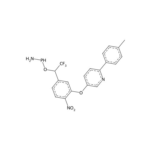 Cc1ccc(-c2ccc(Oc3cc(C(OPN)C(F)(F)F)ccc3[N+](=O)[O-])cn2)cc1